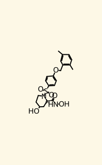 Cc1ccc(C)c(COc2ccc(S(=O)(=O)N3CCC(O)C[C@@H]3C(=O)NO)cc2)c1